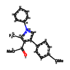 COC(=O)c1c(-c2ccc(OC)cc2)cn(-c2ccccc2)c1C(F)(F)F